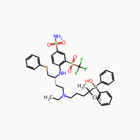 CCN(CCCC(C)(C)[Si](O)(c1ccccc1)c1ccccc1)CC[C@H](CSc1ccccc1)Nc1ccc(S(N)(=O)=O)cc1S(=O)(=O)C(F)(F)F